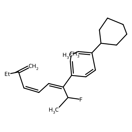 C=C(\C=C/C=C(C(/C=C\C(=C/C)C1CCCCC1)=C/C)\C(C)F)CC